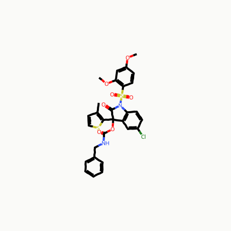 COc1ccc(S(=O)(=O)N2C(=O)C(OC(=O)NCc3ccccc3)(c3sccc3C)c3cc(Cl)ccc32)c(OC)c1